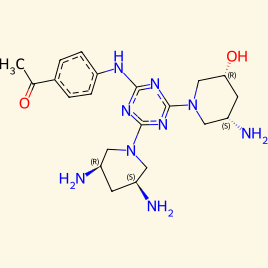 CC(=O)c1ccc(Nc2nc(N3C[C@H](N)C[C@H](N)C3)nc(N3C[C@@H](N)C[C@@H](O)C3)n2)cc1